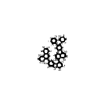 c1ccc(-c2cc3c(cc2-c2ccccc2)-c2ccc(-c4cccc5sc6ccc(-c7cc8ccccc8c8ccccc78)cc6c45)c4cccc-3c24)cc1